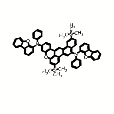 C[Si](C)(C)c1ccc2c(N(c3ccccc3)c3cccc4c3oc3ccccc34)cc3c4cc([Si](C)(C)C)cc5c4c(cc3c2c1)-c1ccc(N(c2ccccc2)c2cccc3c2oc2ccccc23)cc1O5